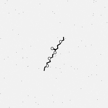 CCOCCCC(=O)OCCOCCOCC